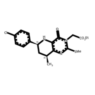 CCOC(=O)Cn1c(SC)nc2c(c1=O)N[C@H](c1ccc(Cl)cc1)C[C@@H]2C